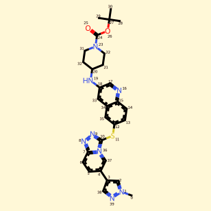 Cn1cc(-c2ccc3nnc(Sc4ccc5ncc(NC6CCN(C(=O)OC(C)(C)C)CC6)cc5c4)n3c2)cn1